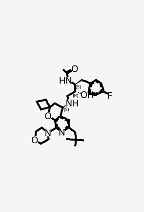 CC(=O)N[C@@H](Cc1ccc(F)cc1)[C@H](O)CN[C@H]1CC2(CCC2)Oc2c1cc(CC(C)(C)C)nc2N1CCOCC1